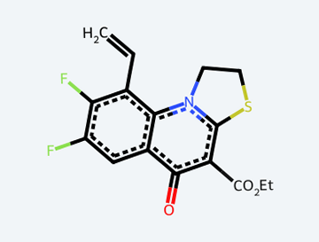 C=Cc1c(F)c(F)cc2c(=O)c(C(=O)OCC)c3n(c12)CCS3